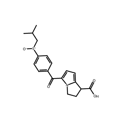 CC(C)C[S+]([O-])c1ccc(C(=O)c2ccc3n2CCC3C(=O)O)cc1